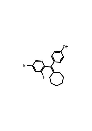 Oc1ccc(C(=C2CCCCCC2)c2ccc(Br)cc2F)cc1